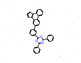 C1=Cc2c(c3cc(-c4cccc(-c5nc(-c6ccccc6)nc(-c6ccccc6)n5)c4)ccc3c3ccccc23)C=1